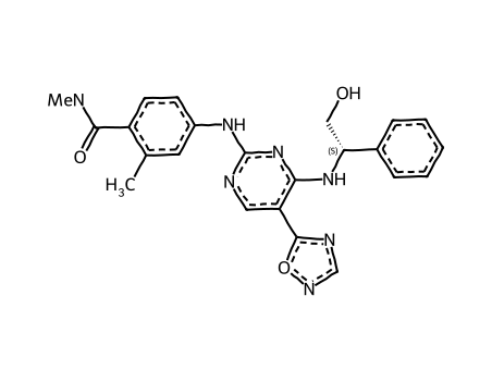 CNC(=O)c1ccc(Nc2ncc(-c3ncno3)c(N[C@H](CO)c3ccccc3)n2)cc1C